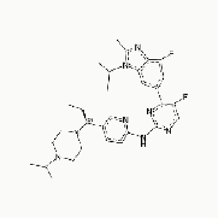 CC[C@@H](c1ccc(Nc2ncc(F)c(-c3cc(F)c4nc(C)n(C(C)C)c4c3)n2)nc1)N1CCN(C(C)C)CC1